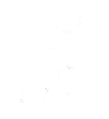 CN1CCN(C(=O)ON[C@@H](Cc2ccccc2)C(=O)O)CC1